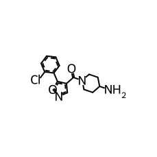 NC1CCN(C(=O)c2cnoc2-c2ccccc2Cl)CC1